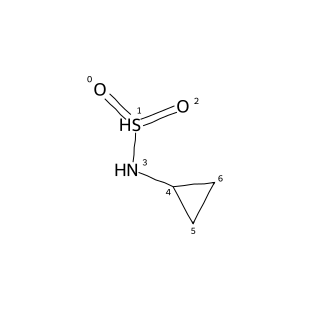 O=[SH](=O)NC1CC1